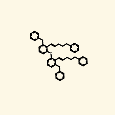 C(=Cc1c(Cc2ccccc2)cccc1Oc1cccc(Cc2ccccc2)c1C=CCCCc1ccccc1)CCCc1ccccc1